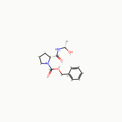 C[C@H](O)NC(=O)[C@H]1CCCN1C(=O)OCc1ccccc1